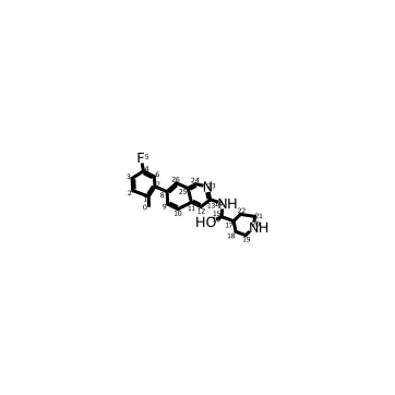 Cc1ccc(F)cc1-c1ccc2cc(NC(O)C3CCNCC3)ncc2c1